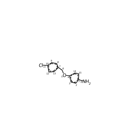 Nc1ccc(OCc2ccc(Cl)cc2)cc1